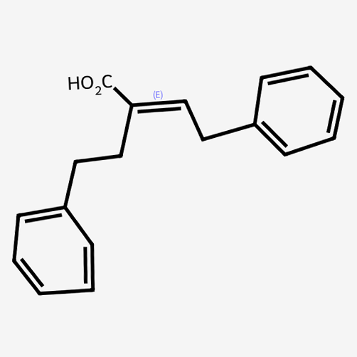 O=C(O)/C(=C/Cc1ccccc1)CCc1ccccc1